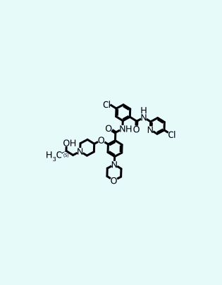 C[C@H](O)CN1CCC(Oc2cc(N3CCOCC3)ccc2C(=O)Nc2cc(Cl)ccc2C(=O)Nc2ccc(Cl)cn2)CC1